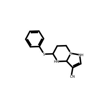 N#CC1=CNN2CCC(Sc3ccccc3)NC12